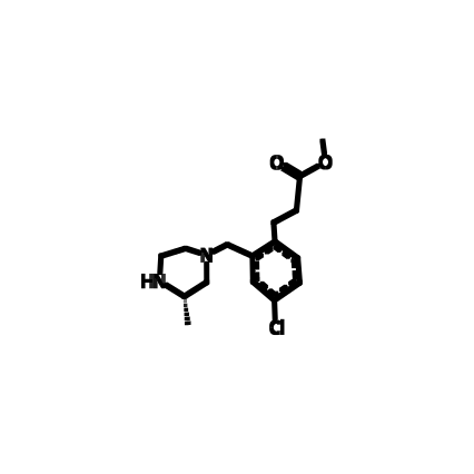 COC(=O)CCc1ccc(Cl)cc1CN1CCN[C@@H](C)C1